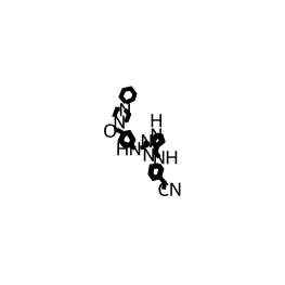 N#CCc1cccc(Nc2nc(Nc3ccc(C(=O)N4CCN(C5CCCCC5)CC4)cc3)nc3[nH]ccc23)c1